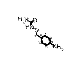 NC(=O)NSCc1ccc(N)cc1